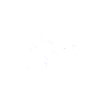 C#Cc1c(F)ccc2cc(O)cc(-c3nc(C#CCN(C)C(C)=O)c4c(N5CC6CCC(C5)N6)nc(OC[C@@]56CCCN5C[C@H](F)C6)nc4c3F)c12